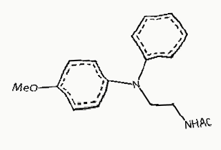 COc1ccc(N(CCNC(C)=O)c2ccccc2)cc1